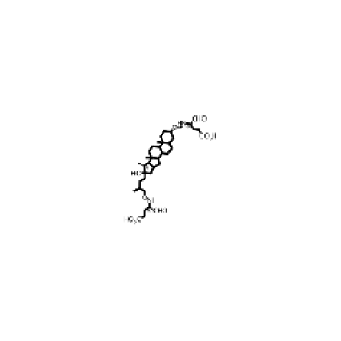 CC(CCC1(O)CC2CC3C4CCC5CC(OCN[C@@H](C=O)CCC(=O)O)CCC5(C)C4CCC3(C)C2[C@@H]1C)CON[C@@H](C=O)CCC(=O)O